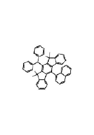 CC1(C)c2ccccc2-c2c(-c3cccc4ccccc34)c3c(c(N(c4ccccc4)c4ccccc4)c21)C(C)(C)c1ccccc1-3